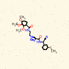 COc1ccc(C(=O)NCCn2cc(C(=O)NC(C#N)c3cccc(SC)c3)nn2)c(OC)c1OC